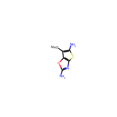 COc1c(N)sc2nc(N)oc12